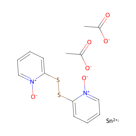 CC(=O)[O-].CC(=O)[O-].[O-][n+]1ccccc1SSc1cccc[n+]1[O-].[Sn+2]